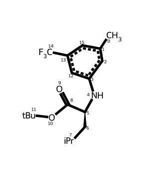 Cc1cc(N[C@@H](CC(C)C)C(=O)OC(C)(C)C)cc(C(F)(F)F)c1